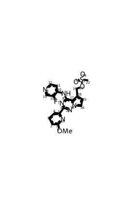 COc1cccc(-c2nc(Nc3ccncc3F)c3c(COS(C)(=O)=O)ccn3n2)n1